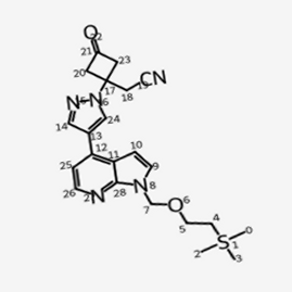 CS(C)(C)CCOCn1ccc2c(-c3cnn(C4(CC#N)CC(=O)C4)c3)ccnc21